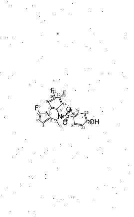 CC1c2ccc(F)n2-c2cc(F)c(F)cc2N1S(=O)(=O)c1ccc(O)cc1